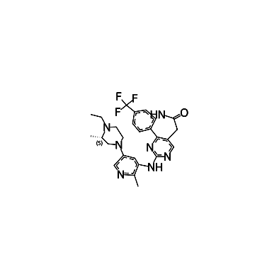 CCN1CCN(c2cnc(C)c(Nc3ncc4c(n3)-c3ccc(C(F)(F)F)cc3NC(=O)C4)c2)C[C@@H]1C